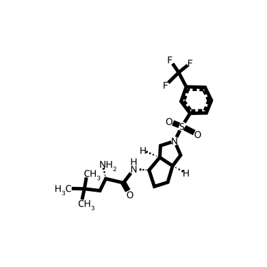 CC(C)(C)C[C@H](N)C(=O)N[C@H]1CC[C@@H]2CN(S(=O)(=O)c3cccc(C(F)(F)F)c3)C[C@@H]21